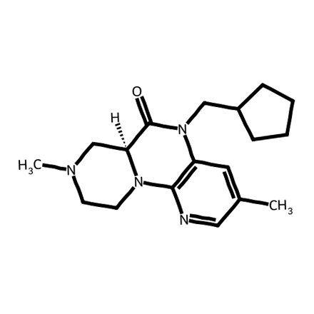 Cc1cnc2c(c1)N(CC1CCCC1)C(=O)[C@@H]1CN(C)CCN21